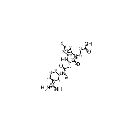 CCCCN[C@@H](CC(=O)N(C)[C@H]1CCCN(C(=N)N)C1)C(=O)N(CCC(=O)O)C1CC1